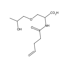 C=CCCC(=O)NC(COCC(C)O)C(=O)O